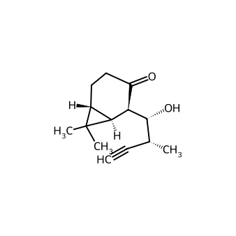 C#C[C@@H](C)[C@@H](O)[C@@H]1C(=O)CC[C@@H]2[C@@H]1C2(C)C